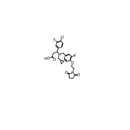 O=C(O)CC(c1ccc(Cl)c(F)c1)N(Cc1ccc(OCCN2C(=O)CCC2=O)c(F)c1)CC1CC1